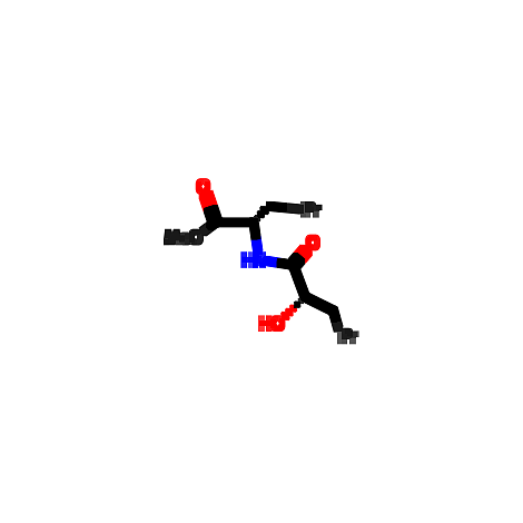 COC(=O)[C@H](CC(C)C)NC(=O)[C@@H](O)CC(C)C